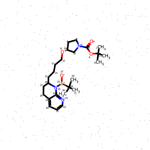 CC(C)(C)OC(=O)N1CC[C@@H](OCCCCC2CCc3cccnc3N2[S+]([O-])C(C)(C)C)C1